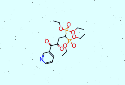 CCOP(=O)(OCC)C(CC(=O)C(=O)c1cccnc1)P(=O)(OCC)OCC